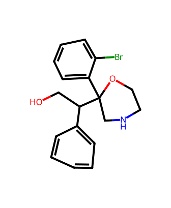 OCC(c1ccccc1)C1(c2ccccc2Br)CNCCO1